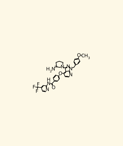 COc1ccc(Cn2nc(N3CCC[C@@H](N)C3)c3c(Oc4ccc(C(=O)Nc5cc(C(F)(F)F)ccn5)cc4)ccnc32)cc1